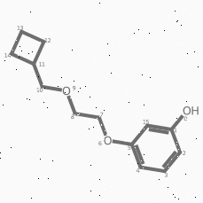 Oc1cccc(OCCOCC2CCC2)c1